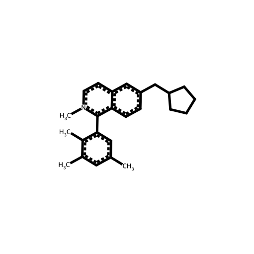 Cc1cc(C)c(C)c(-c2c3ccc(CC4CCCC4)cc3cc[n+]2C)c1